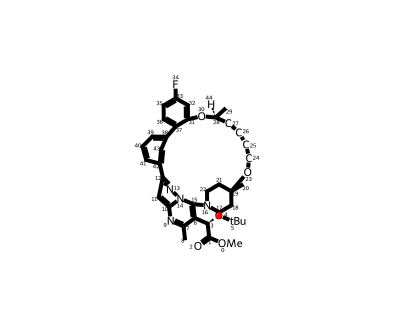 COC(=O)[C@@H](OC(C)(C)C)c1c(C)nc2cc3nn2c1N1CCC(C)(CC1)OCCCC[C@H](C)Oc1cc(F)ccc1-c1cccc-3c1